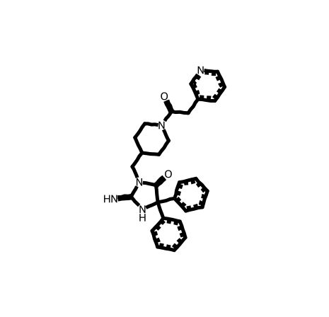 N=C1NC(c2ccccc2)(c2ccccc2)C(=O)N1CC1CCN(C(=O)Cc2cccnc2)CC1